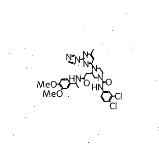 COc1ccc(C(C)NC(=O)CC2CN(C(=O)Nc3ccc(Cl)c(Cl)c3)CCN2c2cc(C)nc(-n3ccnc3)n2)cc1OC